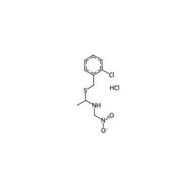 CC(NC[N+](=O)[O-])SCc1ccccc1Cl.Cl